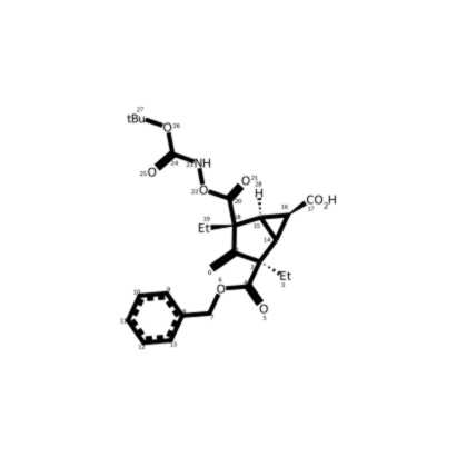 C=C1[C@](CC)(C(=O)OCc2ccccc2)C2[C@H]([C@H]2C(=O)O)[C@@]1(CC)C(=O)ONC(=O)OC(C)(C)C